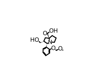 COCOc1ccccc1[C@@H]1[C@H](CO)C[C@]2(C(=O)O)CCCN12